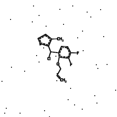 C=CCOc1c(C(Cl)c2sccc2C)ccc(F)c1F